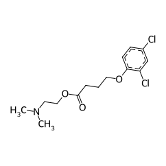 CN(C)CCOC(=O)CCCOc1ccc(Cl)cc1Cl